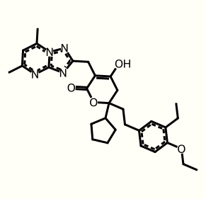 CCOc1ccc(CCC2(C3CCCC3)CC(O)=C(Cc3nc4nc(C)cc(C)n4n3)C(=O)O2)cc1CC